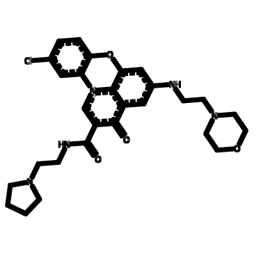 O=C(NCCN1CCCC1)c1cn2c3c(cc(NCCN4CCOCC4)cc3c1=O)Oc1ccc(Cl)cc1-2